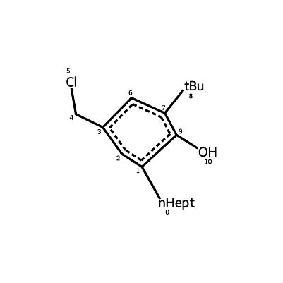 CCCCCCCc1cc(CCl)cc(C(C)(C)C)c1O